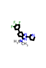 CN(C)c1nc(-c2cccnc2)nc2cc(-c3cc(F)c(F)c(F)c3)ccc12